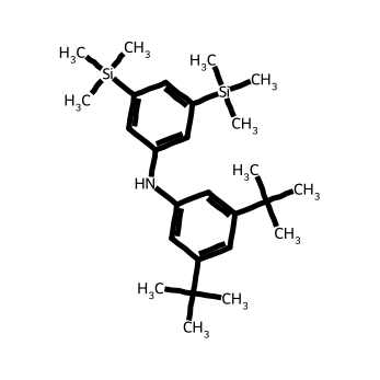 CC(C)(C)c1cc(Nc2cc([Si](C)(C)C)cc([Si](C)(C)C)c2)cc(C(C)(C)C)c1